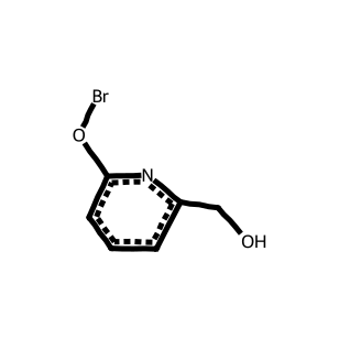 OCc1cccc(OBr)n1